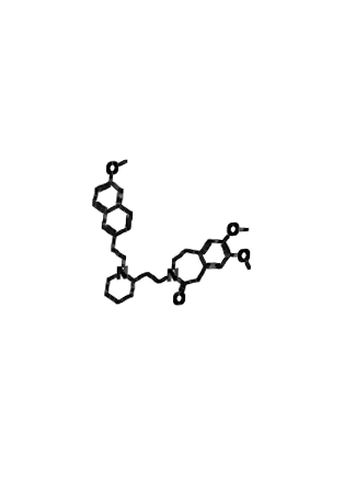 COc1ccc2cc(CCN3CCCCC3CCN3CCc4cc(OC)c(OC)cc4CC3=O)ccc2c1